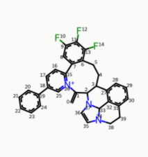 C=C1C2C(CCc3c(cc(F)c(F)c3F)-c3ccc(-c4ccccc4)c[n+]31)c1cccc3c1C1N(C=CN21)CC3